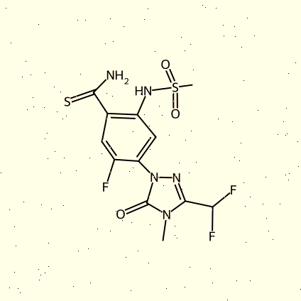 Cn1c(C(F)F)nn(-c2cc(NS(C)(=O)=O)c(C(N)=S)cc2F)c1=O